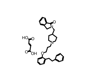 O=C(O)C=CC(=O)O.O=C1c2ccccc2CN1CC1CCN(CCCOc2ccccc2CCc2ccccc2)CC1